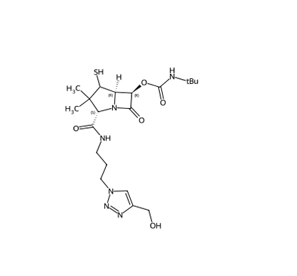 CC(C)(C)NC(=O)O[C@H]1C(=O)N2[C@H]1C(S)C(C)(C)[C@H]2C(=O)NCCCn1cc(CO)nn1